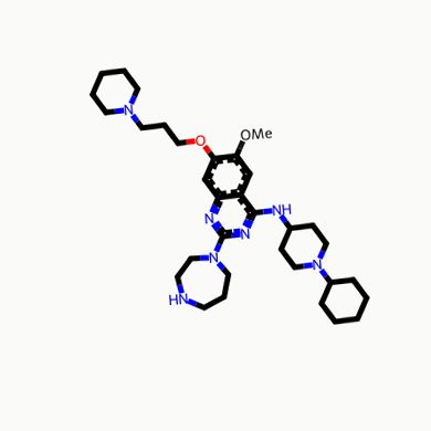 COc1cc2c(NC3CCN(C4CCCCC4)CC3)nc(N3CCCNCC3)nc2cc1OCCCN1CCCCC1